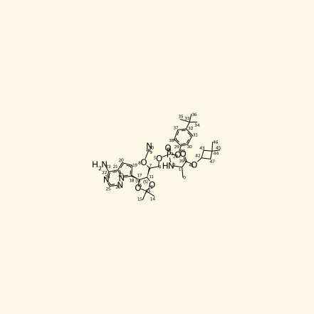 CC(NP(=O)(OCC(OC#N)[C@H]1OC(C)(C)O[C@H]1c1ccc2c(N)ncnn12)Oc1ccc(C(C)(C)C)cc1)C(=O)OC1CC(C)(C)C1